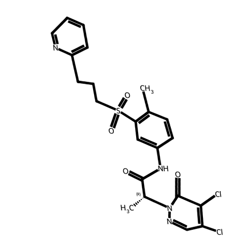 Cc1ccc(NC(=O)[C@@H](C)n2ncc(Cl)c(Cl)c2=O)cc1S(=O)(=O)CCCc1ccccn1